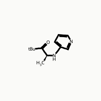 C[C@H](Nc1cccnc1)C(=O)C(C)(C)C